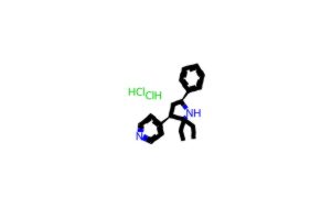 CCC1(CC)N[C@H](c2ccccc2)C[C@@H]1c1ccncc1.Cl.Cl